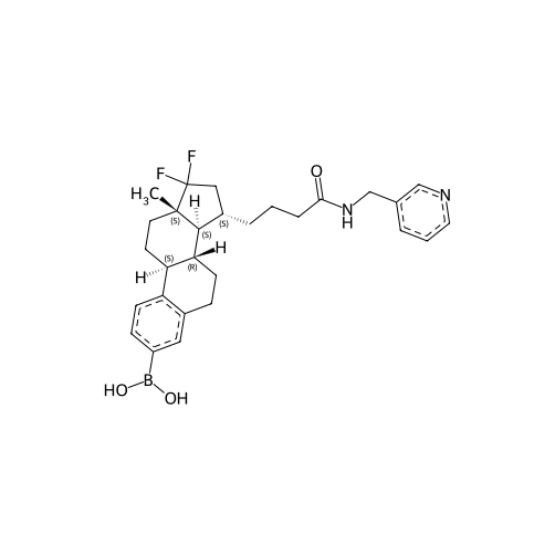 C[C@]12CC[C@@H]3c4ccc(B(O)O)cc4CC[C@H]3[C@@H]1[C@@H](CCCC(=O)NCc1cccnc1)CC2(F)F